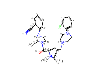 Cc1c(CN2CCN(c3ccccc3Cl)CC2)cc(C(=O)N2CCN(c3ccccc3C#N)C[C@@H]2C)n1C